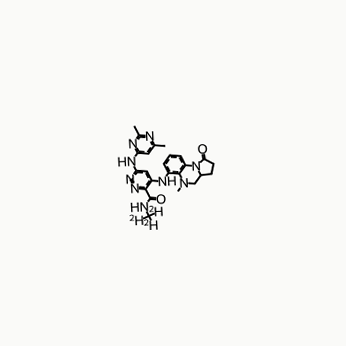 [2H]C([2H])([2H])NC(=O)c1nnc(Nc2cc(C)nc(C)n2)cc1Nc1cccc2c1N(C)CC1CCC(=O)N21